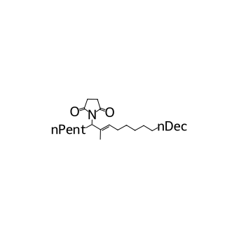 CCCCCCCCCCCCCCCC=C(C)C(CCCCC)N1C(=O)CCC1=O